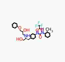 Cc1ccccc1NC(=O)N(OC(=O)C(F)(F)F)c1ccc(C[C@@H](CO)NC[C@H](O)COc2ccccc2)cc1